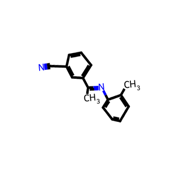 C/C(=N\c1ccccc1C)c1cccc(C#N)c1